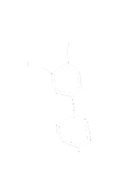 Cc1ccc(-c2c[c]ccn2)cc1C